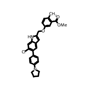 COC(=O)c1cc(OCc2cc3cc(-c4ccc(N5CCCC5)cc4)c(Cl)cc3[nH]2)ccc1C